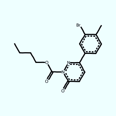 CCCCOC(=O)n1nc(-c2ccc(C)c(Br)c2)ccc1=O